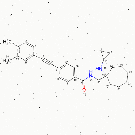 Cc1ccc(C#Cc2ccc(C(=O)NCC3(NC4CC4)CCCCCC3)cc2)cc1C